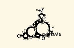 COC[C@@H]1[C@@H](C)CCC[C@H]([C@H]2OC[C@H](N(C)C)CO2)[C@@H]2CC[C@H]2CN2CCCCc3cc(Cl)ccc3COc3ccc(cc32)C(=O)NS1(=O)=O